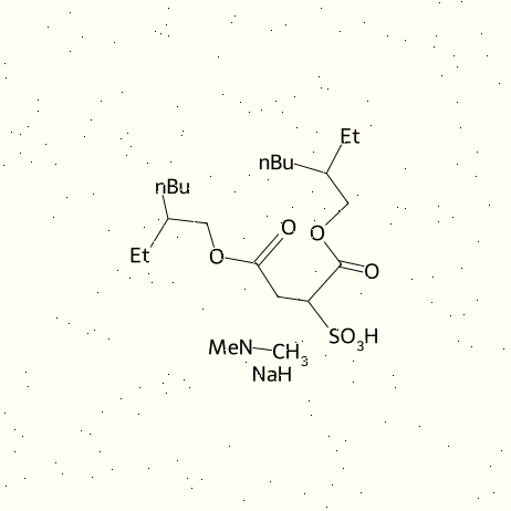 CCCCC(CC)COC(=O)CC(C(=O)OCC(CC)CCCC)S(=O)(=O)O.CNC.[NaH]